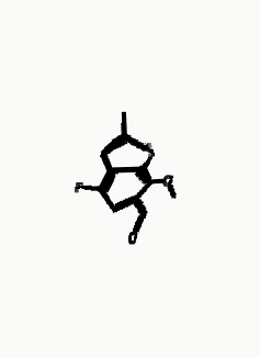 COc1c(C=O)cc(F)c2cc(C)sc12